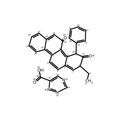 CCC1C=c2ccc3c(c2C(c2ccccc2)C1=O)C(=O)C=c1ccccc1=3.O=C(O)c1cncnn1